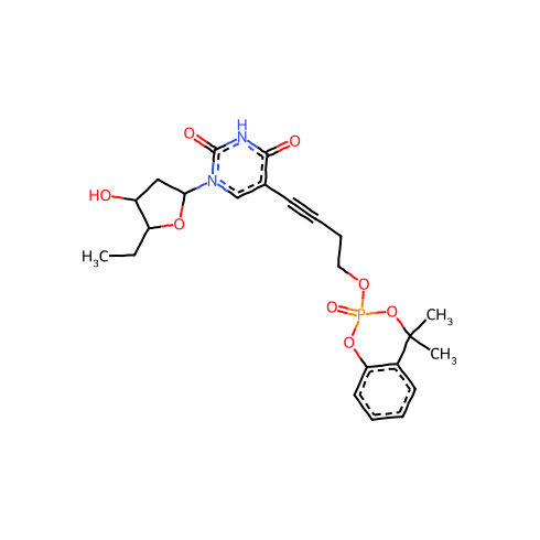 CCC1OC(n2cc(C#CCCOP3(=O)Oc4ccccc4C(C)(C)O3)c(=O)[nH]c2=O)CC1O